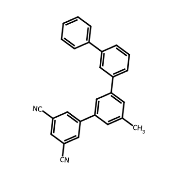 Cc1cc(-c2cc(C#N)cc(C#N)c2)cc(-c2cccc(-c3ccccc3)c2)c1